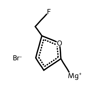 FCc1cc[c]([Mg+])o1.[Br-]